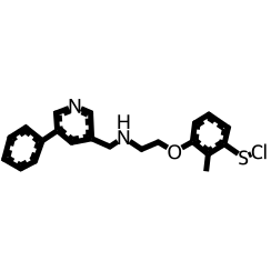 Cc1c(OCCNCc2cncc(-c3ccccc3)c2)cccc1SCl